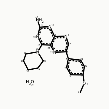 COc1ccc(-c2cnc3nc(N)nc(N4CCCCC4)c3n2)cc1.O